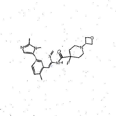 C=N/C(=C\c1cc(-c2cnc(C)n2C)ccc1C)NC(=O)C1(F)CCN(C2COC2)CC1